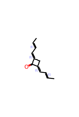 C/C=C/C=C1\C/C(=C\C=C\C)C1=O